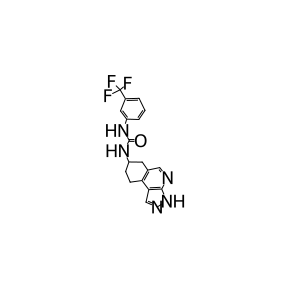 O=C(Nc1cccc(C(F)(F)F)c1)NC1CCc2c(cnc3[nH]ncc23)C1